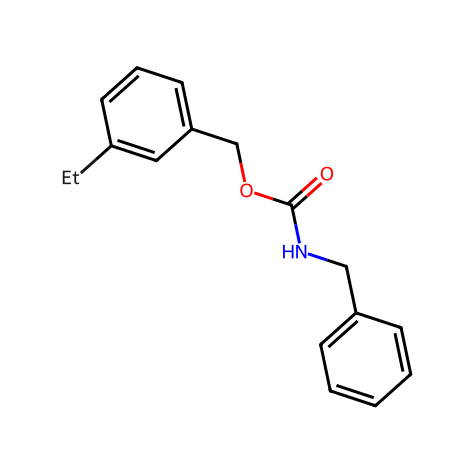 CCc1cccc(COC(=O)NCc2ccccc2)c1